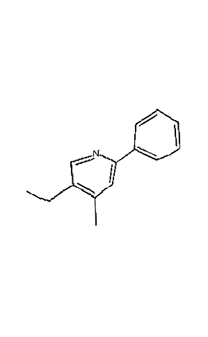 CCc1cnc(-c2ccccc2)cc1C